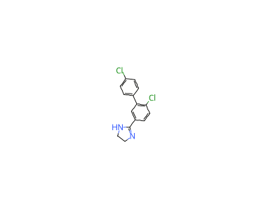 Clc1ccc(-c2cc(C3=NCCN3)ccc2Cl)cc1